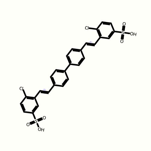 O=S(=O)(O)c1ccc(Cl)c(/C=C/c2ccc(-c3ccc(/C=C/c4cc(S(=O)(=O)O)ccc4Cl)cc3)cc2)c1